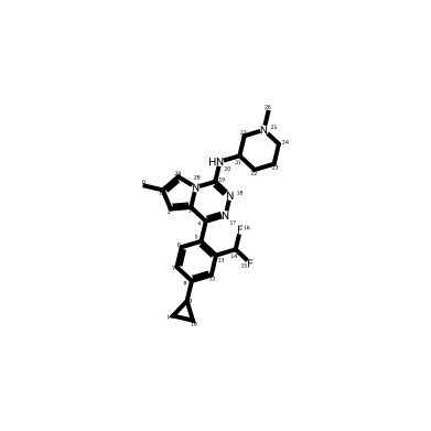 Cc1cc2c(-c3ccc(C4CC4)cc3C(F)F)nnc(NC3CCCN(C)C3)n2c1